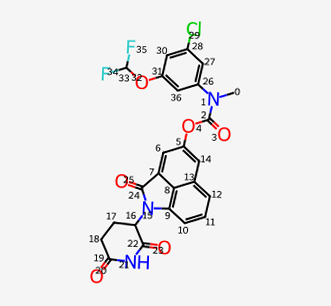 CN(C(=O)Oc1cc2c3c(cccc3c1)N(C1CCC(=O)NC1=O)C2=O)c1cc(Cl)cc(OC(F)F)c1